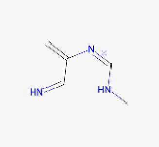 C=C(C=N)/N=C\NC